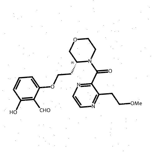 COCCc1nccnc1C(=O)N1CCOC[C@H]1CCOc1cccc(O)c1C=O